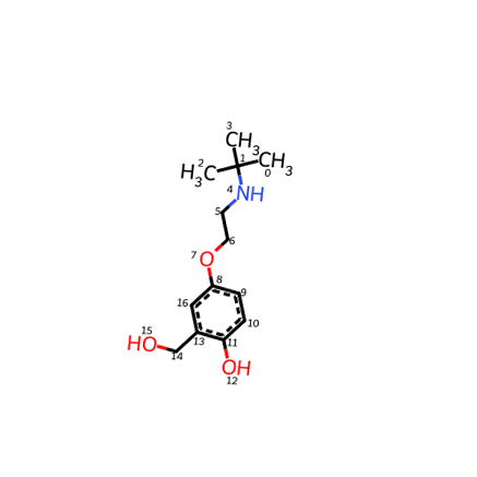 CC(C)(C)NCCOc1ccc(O)c(CO)c1